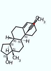 CC#C[C@]12CCC(=O)C=C1CC[C@H]1[C@@H]3CC[C@H](O)[C@@]3(C)CC[C@@H]12